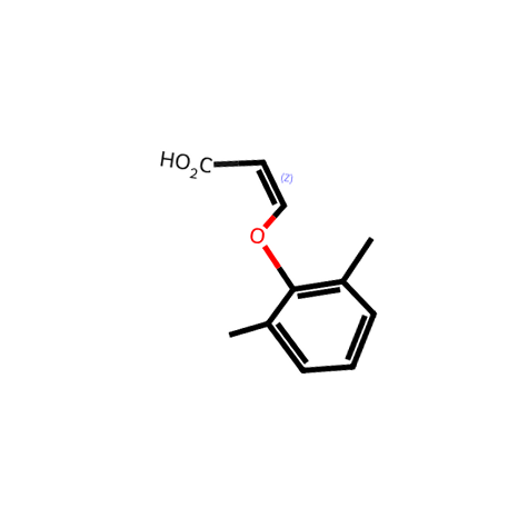 Cc1cccc(C)c1O/C=C\C(=O)O